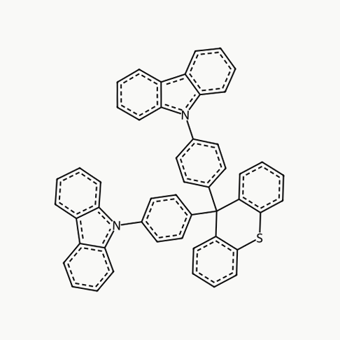 c1ccc2c(c1)Sc1ccccc1C2(c1ccc(-n2c3ccccc3c3ccccc32)cc1)c1ccc(-n2c3ccccc3c3ccccc32)cc1